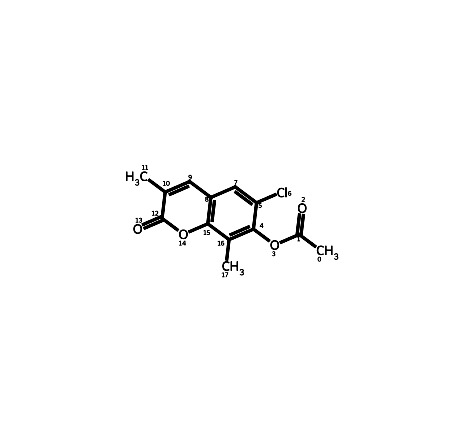 CC(=O)Oc1c(Cl)cc2cc(C)c(=O)oc2c1C